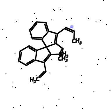 C=CC1=C(C)C2(C(C=C)=C(/C=C\C)c3ccccc32)c2ccccc21